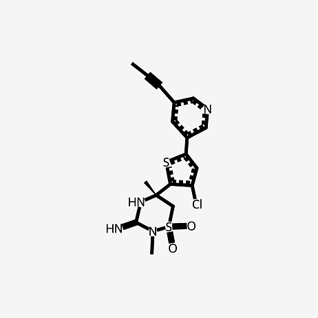 CC#Cc1cncc(-c2cc(Cl)c([C@]3(C)CS(=O)(=O)N(C)C(=N)N3)s2)c1